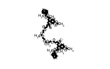 [C-]#[N+]C(C)(CCC(=O)OCCOC(C)OCCOC(C)OCCOC(=O)CCC(C)(C#N)CC(CC(C)(S)C(=O)OC1(CC)C2CC3CC(C2)CC1C3)c1ccc(OC(C)=O)cc1)CC(CC(C)(S)C(=O)OC1(CC)C2CC3CC(C2)CC1C3)c1ccc(OC(C)=O)cc1